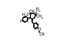 CC1(C)CC(=Cc2ccc(OCC#N)cc2)C(c2ccc(F)cc2)C(C)(C)C1